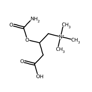 C[N+](C)(C)CC(CC(=O)O)OC(N)=O